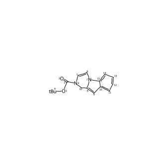 CC(C)(C)OC(=O)N1C=Cn2c(cc3ccccc32)C1